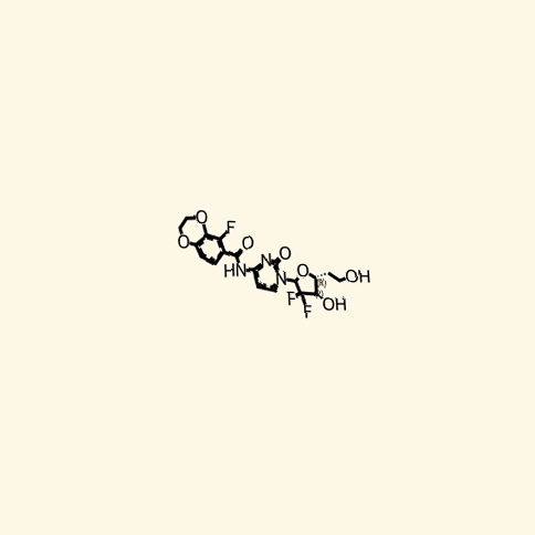 O=C(Nc1ccn(C2O[C@H](CCO)[C@@H](O)C2(F)F)c(=O)n1)c1ccc2c(c1F)OCCO2